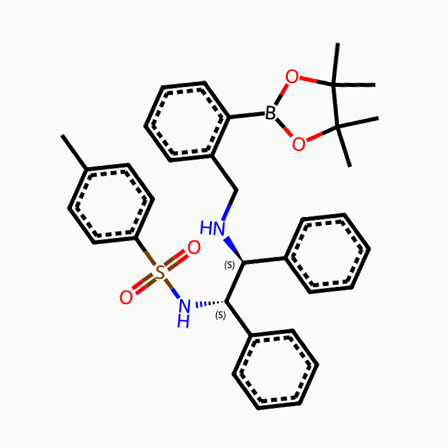 Cc1ccc(S(=O)(=O)N[C@@H](c2ccccc2)[C@@H](NCc2ccccc2B2OC(C)(C)C(C)(C)O2)c2ccccc2)cc1